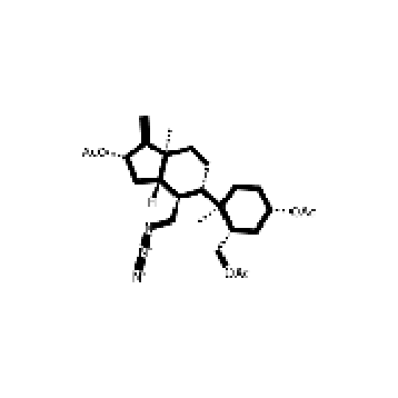 C=C1[C@@H](OC(C)=O)C[C@H]2[C@H](CN=[N+]=[N-])[C@@H]([C@@]3(C)CC[C@H](OC(C)=O)C[C@@H]3COC(C)=O)CC[C@]12C